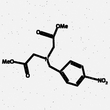 COC(=O)CN(CC(=O)OC)Cc1ccc([N+](=O)[O-])cc1